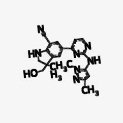 Cc1cc(Nc2nccc(-c3cc(C#N)c4c(c3)C(C)(CO)CN4)n2)n(C)n1